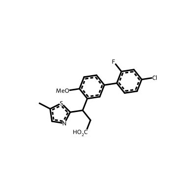 COc1ccc(-c2ccc(Cl)cc2F)cc1C(CC(=O)O)c1ncc(C)s1